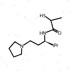 CC(S)C(=O)N[C@H](CCN1CCCC1)C(C)C